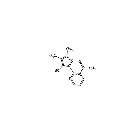 Cc1sc(-c2ncccc2C(N)=O)c(C#N)c1C